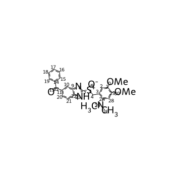 COc1cc(C[S+]([O-])c2nc3cc(C(=O)c4ccccc4)ccc3[nH]2)c(N(C)C)cc1OC